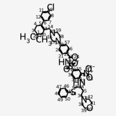 CC1(C)CCC(c2ccc(Cl)cc2)=C(CN2CCN(c3ccc(C(=O)NS(=O)(=O)c4ccc(NC(CCN5CCOCC5)CSc5ccccc5)c([N+](=O)[O-])c4)cc3)CC2)C1